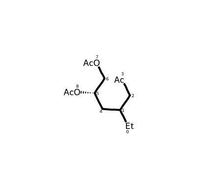 CCC(CC(C)=O)C[C@@H](COC(C)=O)OC(C)=O